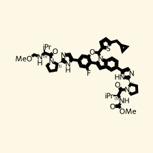 COCN[C@H](C(=O)N1CCC[C@H]1c1ncc(-c2cc(F)c3c(c2)OC(c2ccc(CC4CC4)s2)n2c-3cc3cc(-c4cnc([C@@H]5CCCN5C(=O)[C@@H](NC(=O)OC)C(C)C)[nH]4)ccc32)[nH]1)C(C)C